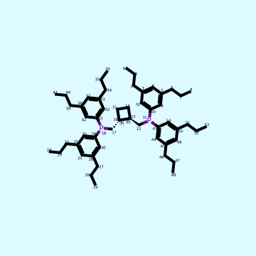 CCCc1cc(CCC)cc(P(C[C@@H]2CC[C@H]2CP(c2cc(CCC)cc(CCC)c2)c2cc(CCC)cc(CCC)c2)c2cc(CCC)cc(CCC)c2)c1